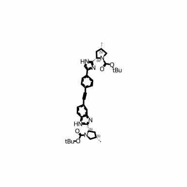 C[C@H]1C[C@@H](c2nc(-c3ccc(C#Cc4ccc5[nH]c([C@@H]6C[C@H](C)CN6C(=O)OC(C)(C)C)nc5c4)cc3)c[nH]2)N(C(=O)OC(C)(C)C)C1